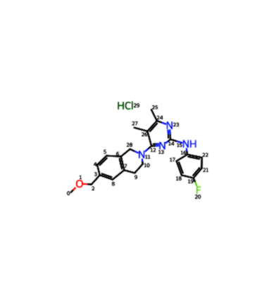 COCc1ccc2c(c1)CCN(c1nc(Nc3ccc(F)cc3)nc(C)c1C)C2.Cl